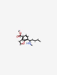 CCCCC(NC)c1ccc(C(=O)OC)c2c1OCC2